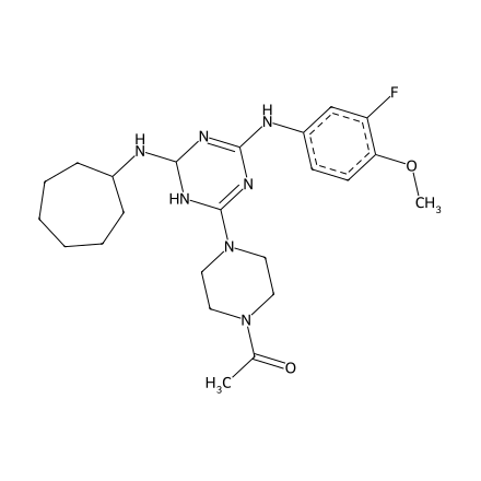 COc1ccc(NC2=NC(NC3CCCCCC3)NC(N3CCN(C(C)=O)CC3)=N2)cc1F